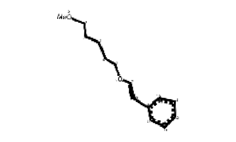 COCCCCCOC=Cc1ccccc1